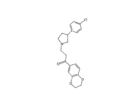 O=C(CCN1CCC(c2ccc(Cl)cc2)C1)c1ccc2c(c1)OCCO2